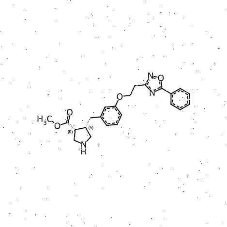 COC(=O)[C@H]1CNC[C@H]1Cc1cccc(OCCc2noc(-c3ccccc3)n2)c1